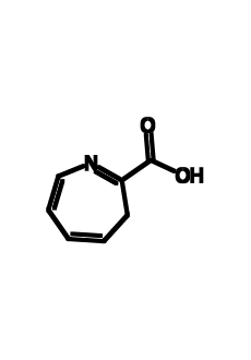 O=C(O)C1=NC=CC=CC1